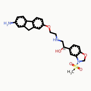 CS(=O)(=O)N1COc2ccc([C@@H](O)CNCCOc3ccc4c(c3)Cc3cc(N)ccc3-4)cc21